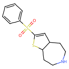 O=S(=O)(C1=CC2CCNCCC2S1)c1ccccc1